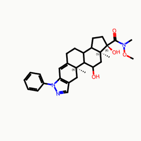 CON(C)C(=O)[C@@]1(O)CCC2C3CCC4=Cc5c(cnn5-c5ccccc5)C[C@]4(C)C3C(O)C[C@@]21C